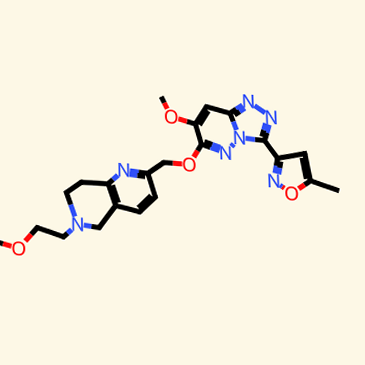 COCCN1CCc2nc(COc3nn4c(-c5cc(C)on5)nnc4cc3OC)ccc2C1